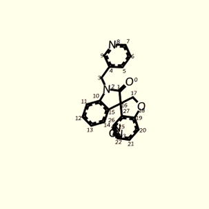 O=C1N(Cc2cccnc2)c2ccccc2C12COc1ccc3nonc3c12